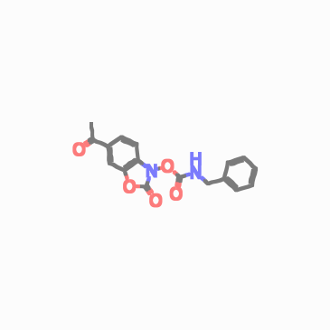 CC(=O)c1ccc2c(c1)oc(=O)n2OC(=O)NCc1ccccc1